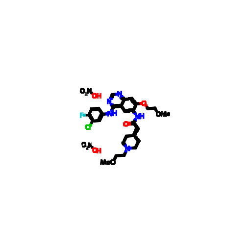 COCCOc1cc2ncnc(Nc3ccc(F)c(Cl)c3)c2cc1NC(=O)C=C1CCN(CCOC)CC1.O=[N+]([O-])O.O=[N+]([O-])O